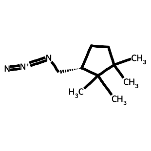 CC1(C)CC[C@@H](CN=[N+]=[N-])C1(C)C